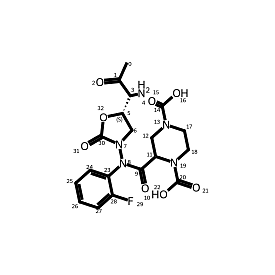 CC(=O)C(N)[C@@H]1CN(N(C(=O)C2CN(C(=O)O)CCN2C(=O)O)c2ccccc2F)C(=O)O1